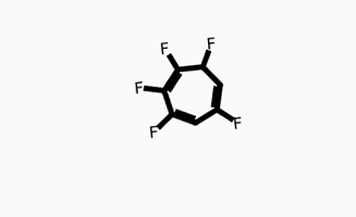 FC1=CC(F)C(F)=C(F)C(F)=C1